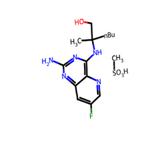 CCCCC(C)(CO)Nc1nc(N)nc2cc(F)cnc12.CS(=O)(=O)O